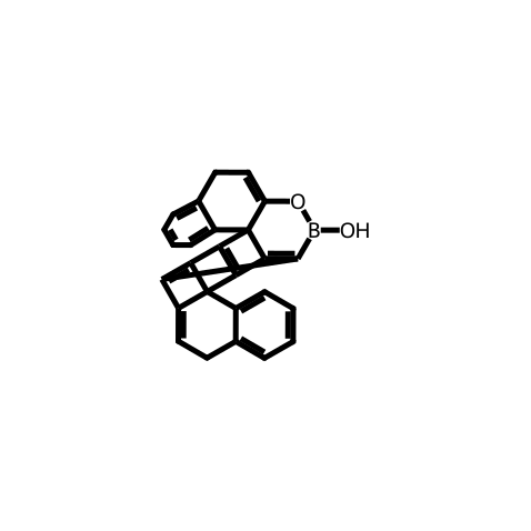 OB1OC2=CCc3ccccc3C23C2=C1C1=C4C3=C2C42C1=CCc1ccccc12